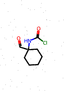 O=CC1(NC(=O)Cl)CCCCC1